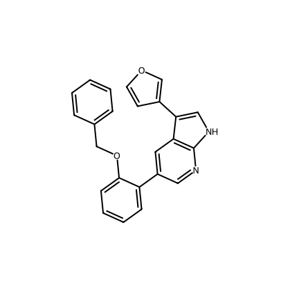 c1ccc(COc2ccccc2-c2cnc3[nH]cc(-c4ccoc4)c3c2)cc1